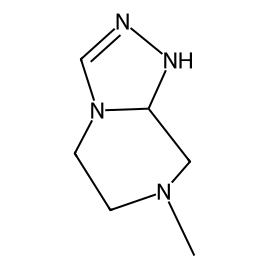 CN1CCN2C=NNC2C1